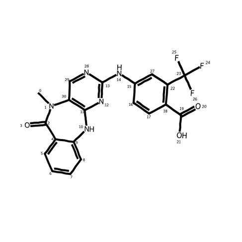 CN1C(=O)c2ccccc2Nc2nc(Nc3ccc(C(=O)O)c(C(F)(F)F)c3)ncc21